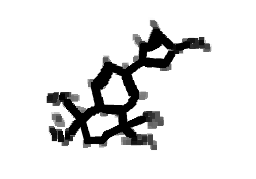 Cn1ccc(-c2ccc3c(c2)C(C)(C)CCC3(C)C)c1